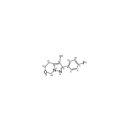 Fc1ccc(-c2nn3c(c2I)CCOC3)cc1